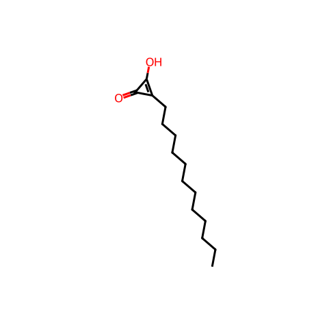 CCCCCCCCCCCCc1c(O)c1=O